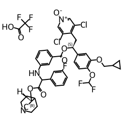 O=C(O)C(F)(F)F.O=C(O[C@@H](Cc1c(Cl)c[n+]([O-])cc1Cl)c1ccc(OC(F)F)c(OCC2CC2)c1)c1cccc(NC(C(=O)O[C@H]2CN3CCC2CC3)c2cccc(F)c2)c1